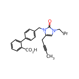 CC#CCc1cn(CC(C)C)c(=O)n1Cc1ccc(-c2ccccc2C(=O)O)cc1